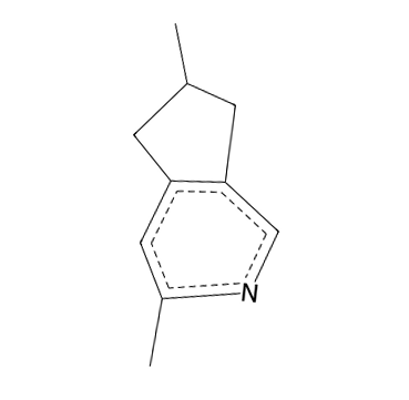 Cc1cc2c(cn1)CC(C)C2